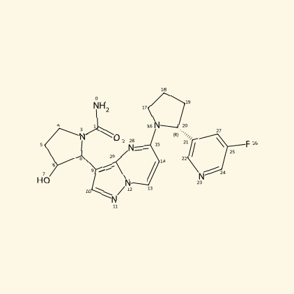 NC(=O)N1CCC(O)C1c1cnn2ccc(N3CCC[C@@H]3c3cncc(F)c3)nc12